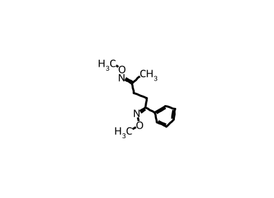 CO/N=C(/CC/C(C)=N/OC)c1ccccc1